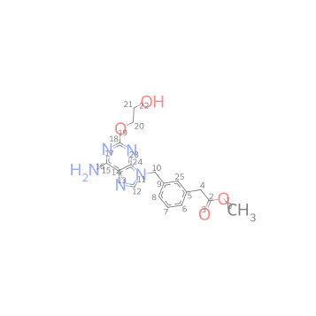 COC(=O)Cc1cccc(Cn2cnc3c(N)nc(OCCO)nc32)c1